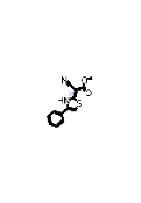 COC(=O)/C(C#N)=C1/NC(c2ccccc2)=CS1